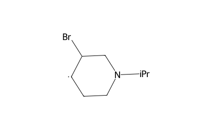 CC(C)N1CC[CH]C(Br)C1